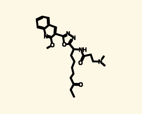 CCC(=O)CCCCCC(NC(=O)CCN(C)C)c1nnc(-c2cc3ccccc3nc2OC)o1